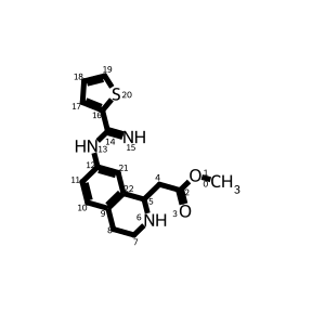 COC(=O)CC1NCCc2ccc(NC(=N)c3cccs3)cc21